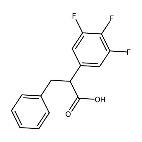 O=C(O)C(Cc1ccccc1)c1cc(F)c(F)c(F)c1